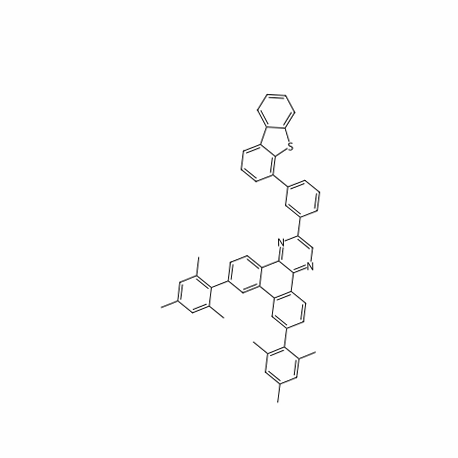 Cc1cc(C)c(-c2ccc3c(c2)c2cc(-c4c(C)cc(C)cc4C)ccc2c2nc(-c4cccc(-c5cccc6c5sc5ccccc56)c4)cnc32)c(C)c1